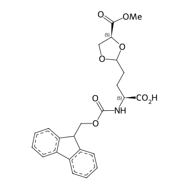 COC(=O)[C@@H]1COC(CC[C@H](NC(=O)OCC2c3ccccc3-c3ccccc32)C(=O)O)O1